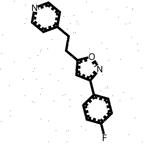 Fc1ccc(-c2cc(CCc3ccncc3)on2)cc1